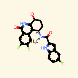 CN(C(=O)c1cc2cc(F)ccc2[nH]1)[C@@H]1CCC(O)c2[nH]c(=O)c3cc(F)c(F)cc3c21